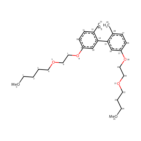 COCCCCOCCOc1ccc(C)c(-c2cc(OCCOCCCOC)ccc2C)c1